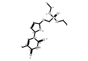 CCOP(=O)(COC1C=CC(n2cc(C)c(=O)[nH]c2=O)O1)OCC